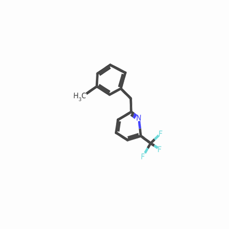 Cc1cccc(Cc2cccc(C(F)(F)F)n2)c1